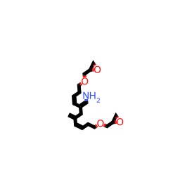 C=C(/C=C\CCOCC1CO1)CC(/C=C\CCOCC1CO1)=C/N